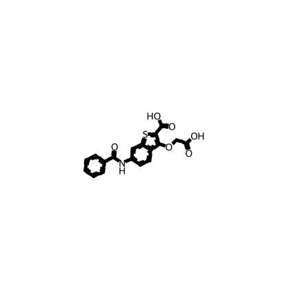 O=C(O)COc1c(C(=O)O)sc2cc(NC(=O)c3ccccc3)ccc12